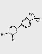 CC1(c2ccc(-c3ccc(Br)c(Cl)c3)cc2)CC1